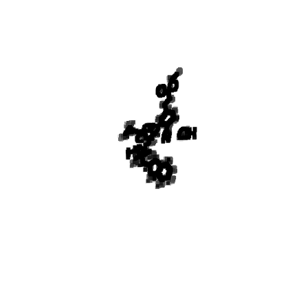 CCOC(=O)CCc1ccc(C#N)c(OC[C@@H](CNC(C)(C)CC2Cc3ccccc3C2)OC(=O)C2CC2)c1.Cl